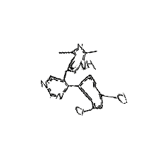 Cc1nc(C)c(-c2cn[c]nc2-c2ccc(Cl)cc2Cl)[nH]1